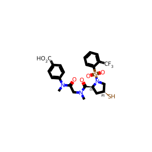 CN(CC(=O)N(C)c1ccc(C(=O)O)cc1)C(=O)[C@@H]1C[C@@H](S)CN1S(=O)(=O)c1ccccc1C(F)(F)F